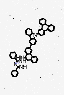 N=C(/N=C(\NN[C@@H]1Cc2ccccc2-c2cc(-c3ccc4c(c3)c3c(n4-c4ccc5c6ccccc6c6ccccc6c5c4)CCC=C3)ccc21)c1ccccc1)c1ccccc1